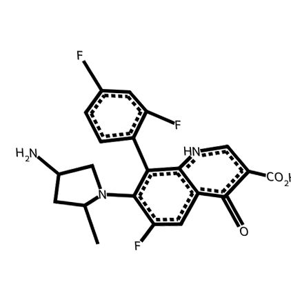 CC1CC(N)CN1c1c(F)cc2c(=O)c(C(=O)O)c[nH]c2c1-c1ccc(F)cc1F